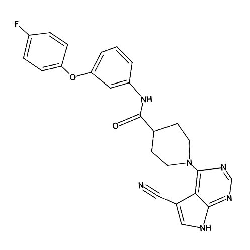 N#Cc1c[nH]c2ncnc(N3CCC(C(=O)Nc4cccc(Oc5ccc(F)cc5)c4)CC3)c12